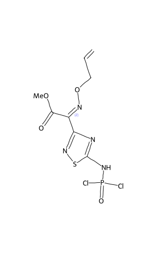 C=CCO/N=C(\C(=O)OC)c1nsc(NP(=O)(Cl)Cl)n1